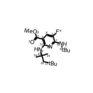 COC(=O)c1cc(F)c(NC(C)(C)C)nc1NC(C)(C)CC(C)(C)C